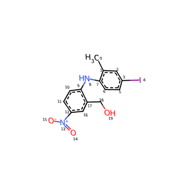 Cc1cc(I)ccc1Nc1ccc([N+](=O)[O-])cc1CO